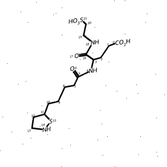 O=C(O)CCC(NC(=O)CCCCC1CCNS1)C(=O)NCCS(=O)(=O)O